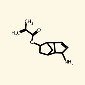 C=C(C)C(=O)OC1CC2CC1C1C=CC(N)C21